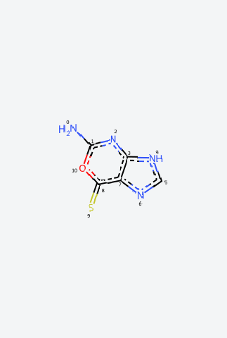 Nc1nc2[nH]cnc2c(=S)o1